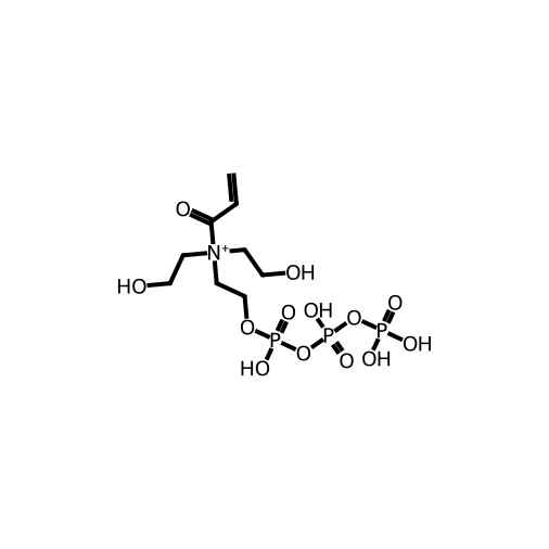 C=CC(=O)[N+](CCO)(CCO)CCOP(=O)(O)OP(=O)(O)OP(=O)(O)O